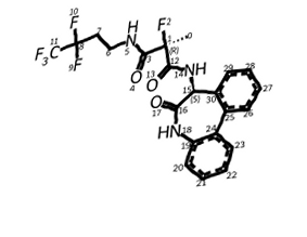 C[C@@](F)(C(=O)NCCC(F)(F)C(F)(F)F)C(=O)N[C@@H]1C(=O)Nc2ccccc2-c2ccccc21